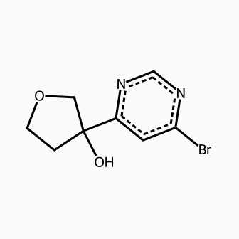 OC1(c2cc(Br)ncn2)CCOC1